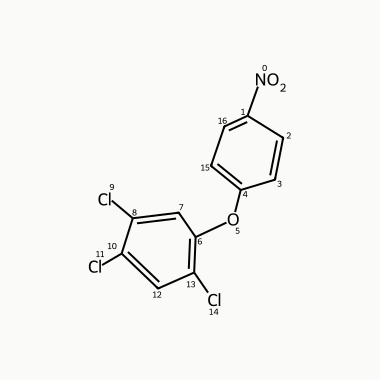 O=[N+]([O-])c1ccc(Oc2cc(Cl)c(Cl)cc2Cl)cc1